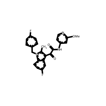 COc1cc(NC(=O)C(=O)c2c(C)n(Cc3ccc(F)cc3)c3ccc(F)cc23)ccn1